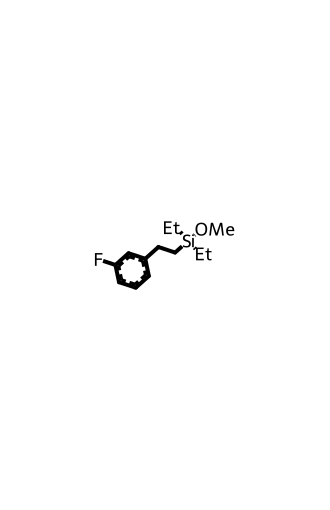 CC[Si](CC)(CCc1cccc(F)c1)OC